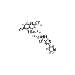 O=C(NC1CCC(Nc2cc(C(F)(F)F)nc3ccc(Cl)cc23)CC1)C1CSC(c2cccnc2)=N1